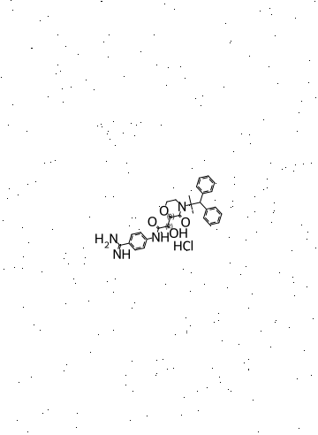 CC(C)(C(c1ccccc1)c1ccccc1)N1CCO[C@H]([C@@H](O)C(=O)Nc2ccc(C(=N)N)cc2)C1=O.Cl